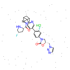 Cl.N#CC1(c2ccc(-c3ccc(N4C[C@H](Cn5ccnn5)OC4=O)cc3F)cn2)C2CC1CN(C(=O)[C@@H]1C[C@H](F)CN1)C2